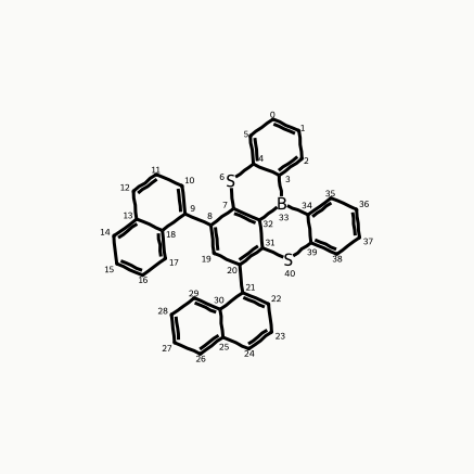 c1ccc2c(c1)Sc1c(-c3cccc4ccccc34)cc(-c3cccc4ccccc34)c3c1B2c1ccccc1S3